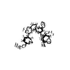 COc1ccc(C(=O)CN2c3nc(N4C[C@@H]5CC4(C)CO5)cc(=O)n3CC[C@H]2C(F)(F)F)cn1